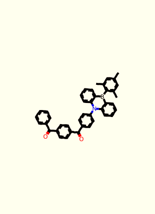 Cc1cc(C)c(B2c3ccccc3N(c3ccc(C(=O)c4ccc(C(=O)c5ccccc5)cc4)cc3)c3ccccc32)c(C)c1